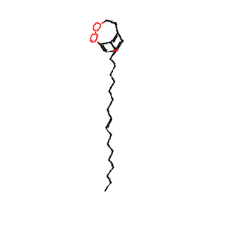 CCCCCCCCC=CCCCCCCCCc1c2cccc1OOCC2